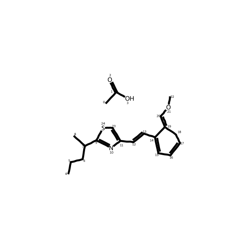 CC(=O)O.CCCC(C)c1nc(C=CC2=CC=CC/C2=C\OC)cs1